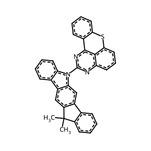 CC1(C)c2ccccc2-c2cc3c(cc21)c1ccccc1n3-c1nc2c3c(cccc3n1)Sc1ccccc1-2